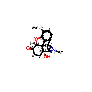 COc1ccc2c3c1O[C@@H]1C(=O)CC[C@@]4(O)C31CC1N(C(C)=O)C14C2